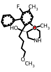 COCCCCC(O)(c1c(OC)cc(C)c(F)c1-c1ccccc1)[C@H]1CNCCO1